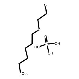 CCCCCCCCCCCCCOCC[O].O=P(O)(O)O